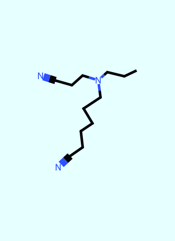 CCCN(CCC#N)CCCCCC#N